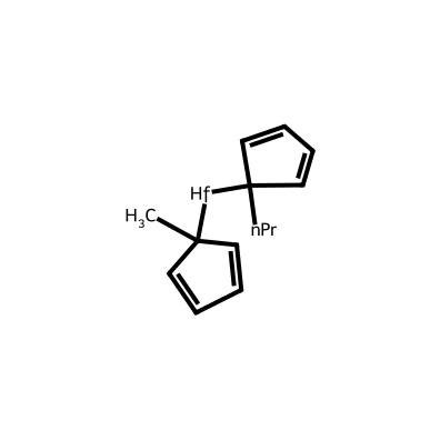 CCC[C]1([Hf][C]2(C)C=CC=C2)C=CC=C1